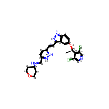 C[C@@H](Oc1ccc2[nH]nc(/C=C/C3C=CC(CNC4CCOCC4)=NN3)c2c1)c1c(Cl)cncc1Cl